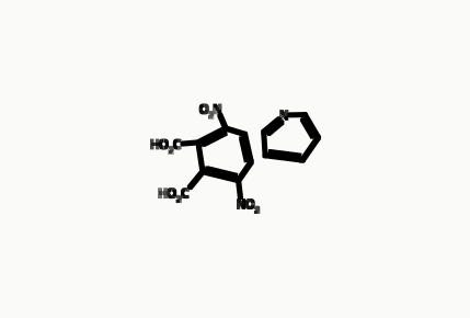 O=C(O)c1c([N+](=O)[O-])ccc([N+](=O)[O-])c1C(=O)O.c1ccncc1